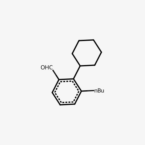 CCCCc1cccc(C=O)c1C1CCCCC1